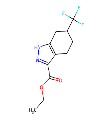 CCOC(=O)c1n[nH]c2c1CCC(C(F)(F)F)C2